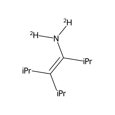 [2H]N([2H])C(=C(C(C)C)C(C)C)C(C)C